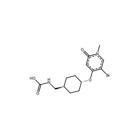 Cn1cc(Br)c(O[C@H]2CC[C@H](CNC(=O)O)CC2)cc1=O